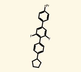 CCCc1ccc(-c2cc(F)c(-c3ccc(C4CCCC4)cc3)c(F)c2)cc1